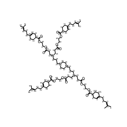 CC(C)=CCCC1=CCC(C(=O)OCCOC(=O)CCN(CCCN2CCN(CCCN(CCC(=O)OCCOC(=O)C3CC=C(CCC=C(C)C)CC3)CCC(=O)OCCOC(=O)C3CC=C(CCC=C(C)C)CC3)CC2)CCC(=O)OCCOC(=O)C2CC=C(CCC=C(C)C)CC2)CC1